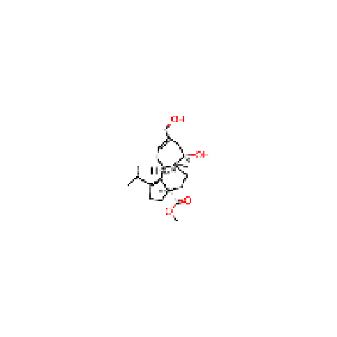 COC(=O)[C@]12CCC(C(C)C)=C1[C@H]1CC=C(CO)C[C@@H](O)[C@]1(C)CC2